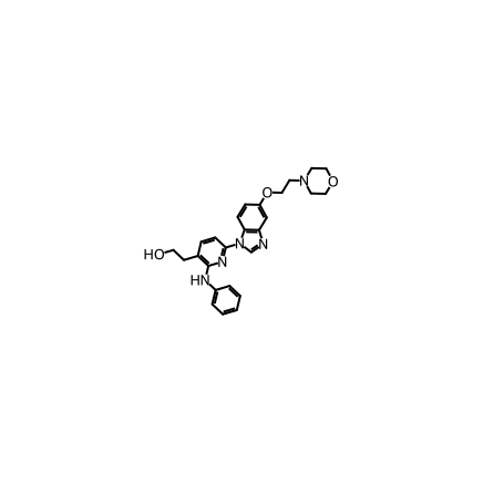 OCCc1ccc(-n2cnc3cc(OCCN4CCOCC4)ccc32)nc1Nc1ccccc1